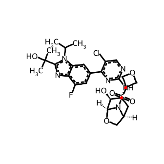 CC(C)n1c(C(C)(C)O)nc2c(F)cc(-c3nc(N[C@@H]4C[C@H]5CO[C@@H]([C@H]4O)N5S(=O)(=O)C4COC4)ncc3Cl)cc21